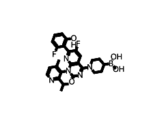 Cc1ccnc(C(C)C)c1-n1c(=O)nc(N2CCC(B(O)O)CC2)c2cc(F)c(-c3c(O)cccc3F)nc21